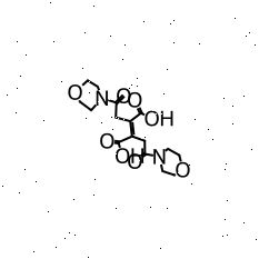 O=C(O)/C(CC(=O)N1CCOCC1)=C(\CC(=O)N1CCOCC1)C(=O)O